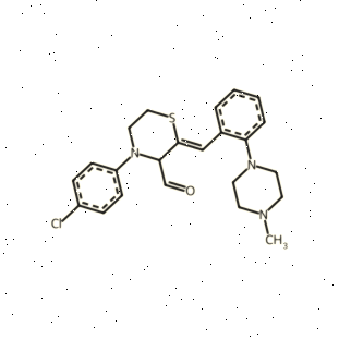 CN1CCN(c2ccccc2C=C2SCCN(c3ccc(Cl)cc3)C2C=O)CC1